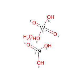 O.O=[Si](O)O.[O]=[W](=[O])([OH])[OH]